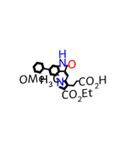 CCOC(=O)c1cn(C)c(C=C2C(=O)Nc3cc(-c4ccccc4OC)ccc32)c1CCC(=O)O